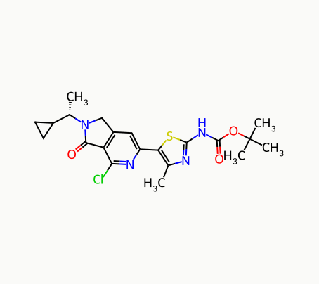 Cc1nc(NC(=O)OC(C)(C)C)sc1-c1cc2c(c(Cl)n1)C(=O)N([C@@H](C)C1CC1)C2